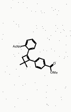 COC(=O)c1ccc(C2=C(c3ccccc3NC(C)=O)CC2(C)C)cc1